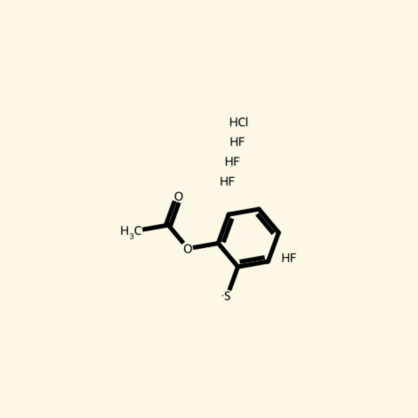 CC(=O)Oc1ccccc1[S].Cl.F.F.F.F